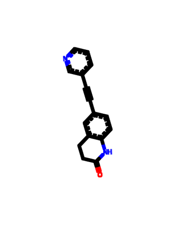 O=C1CCc2cc(C#Cc3cccnc3)ccc2N1